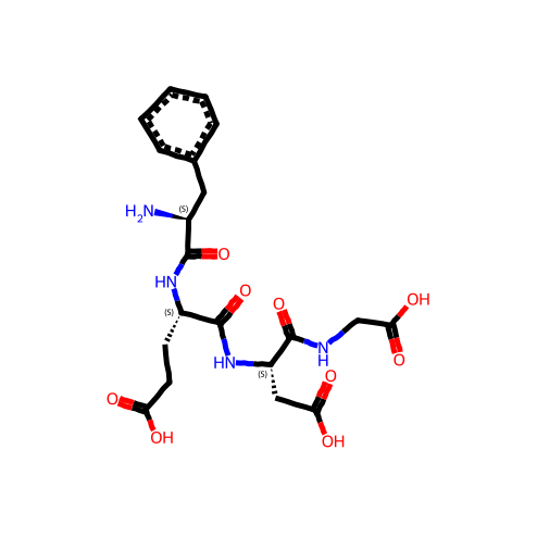 N[C@@H](Cc1ccccc1)C(=O)N[C@@H](CCC(=O)O)C(=O)N[C@@H](CC(=O)O)C(=O)NCC(=O)O